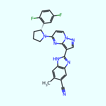 Cc1cc2[nH]c(-c3cnn4ccc(N5CCC[C@@H]5c5cc(F)ccc5F)nc34)nc2cc1C#N